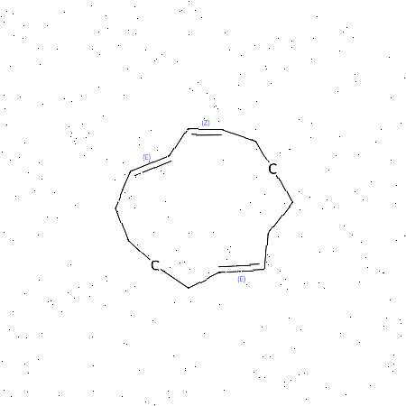 C1=C\CCCC/C=C/CCCC/C=C/1